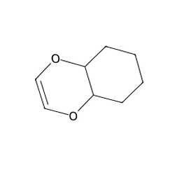 C1=COC2CCCCC2O1